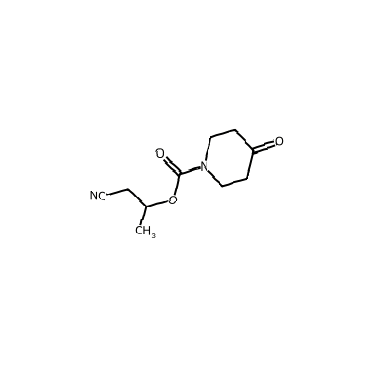 CC(CC#N)OC(=O)N1CCC(=O)CC1